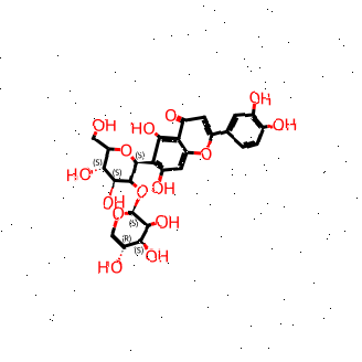 O=c1cc(-c2ccc(O)c(O)c2)oc2cc(O)c([C@@H]3OC(CO)[C@@H](O)[C@H](O)C3O[C@@H]3OC[C@@H](O)[C@H](O)C3O)c(O)c12